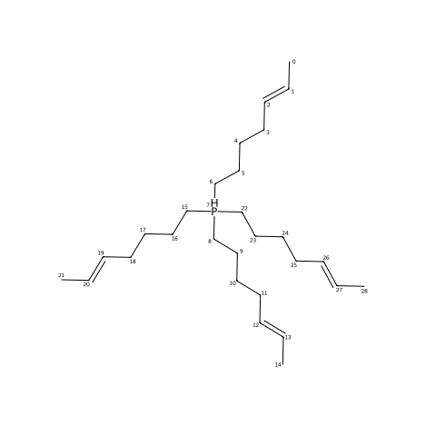 C/C=C/CCCC[PH](CCCC/C=C/C)(CCCC/C=C/C)CCCC/C=C/C